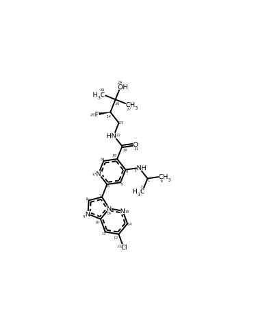 CC(C)Nc1cc(-c2cnc3cc(Cl)cnn23)ncc1C(=O)NC[C@@H](F)C(C)(C)O